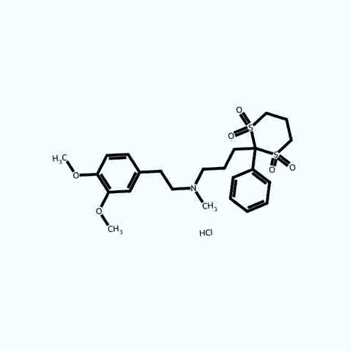 COc1ccc(CCN(C)CCCC2(c3ccccc3)S(=O)(=O)CCCS2(=O)=O)cc1OC.Cl